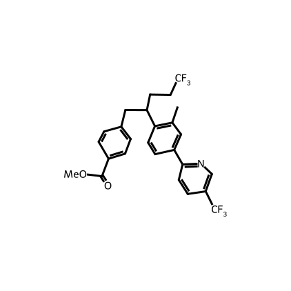 COC(=O)c1ccc(CC(CCC(F)(F)F)c2ccc(-c3ccc(C(F)(F)F)cn3)cc2C)cc1